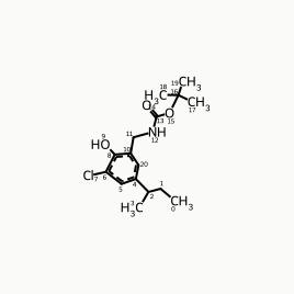 CCC(C)c1cc(Cl)c(O)c(CNC(=O)OC(C)(C)C)c1